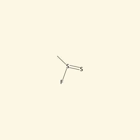 CS(F)=S